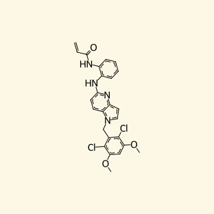 C=CC(=O)Nc1ccccc1Nc1ccc2c(ccn2Cc2c(Cl)c(OC)cc(OC)c2Cl)n1